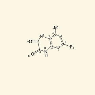 O=C1[N]c2c(Br)cc(F)cc2NC1=O